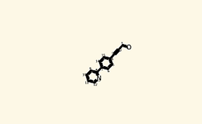 O=CC#Cc1ccc(-c2ccccn2)cc1